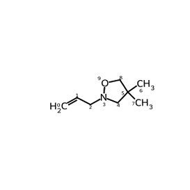 C=CCN1CC(C)(C)CO1